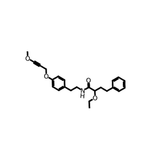 CCOC(CCc1ccccc1)C(=O)NCCc1ccc(OCC#COC)cc1